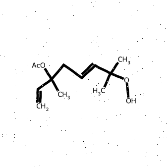 C=CC(C)(CC=CC(C)(C)OO)OC(C)=O